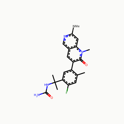 CNc1cc2c(cn1)cc(-c1cc(C(C)(C)NC(N)=O)c(F)cc1C)c(=O)n2C